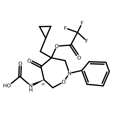 O=C(O)N[C@@H]1CON(c2ccccc2)CC(CC2CC2)(OC(=O)C(F)(F)F)C1=O